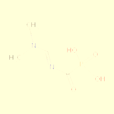 CN(C)C=NC(=O)P(=O)(O)O